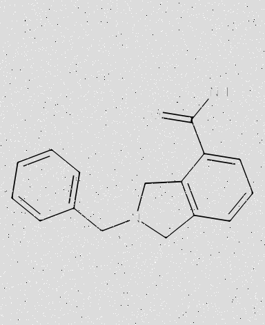 NC(=O)c1cccc2c1CN(Cc1ccccc1)C2